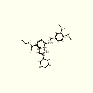 CCOC(=O)c1cnc(NCc2ccc(OC)c(OC)c2)n2nc(C3CCCCC3)nc12